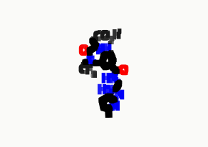 Cc1ccc2[nH]c(CNC(=O)c3ccc4c(c3)CN(CC(F)(F)F)C(=O)C(CC(=O)O)N4)nc2n1